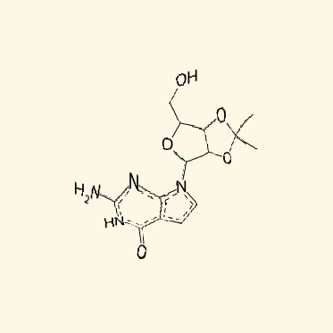 CC1(C)OC2C(CO)OC(n3ccc4c(=O)[nH]c(N)nc43)C2O1